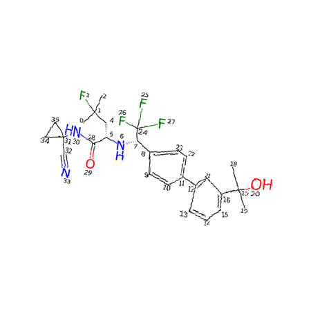 CC(C)(F)C[C@H](N[C@@H](c1ccc(-c2cccc(C(C)(C)O)c2)cc1)C(F)(F)F)C(=O)NC1(C#N)CC1